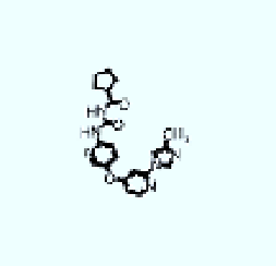 Cc1cn(-c2cc(Oc3ccc(NC(=O)NC(=O)C4CCCC4)nc3)ccn2)cn1